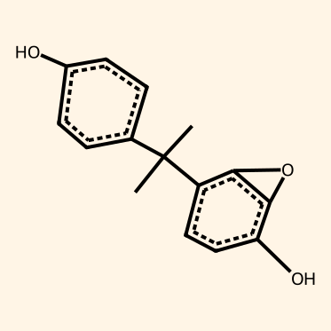 CC(C)(c1ccc(O)cc1)c1ccc(O)c2c1O2